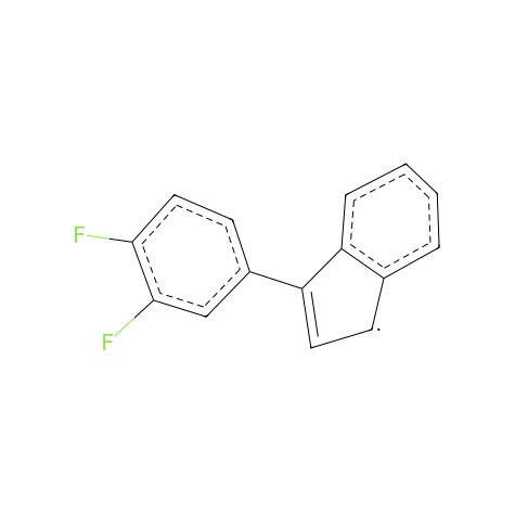 Fc1ccc(C2=C[CH]c3ccccc32)cc1F